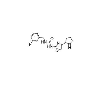 O=C(NCc1cccc(F)c1)Nc1nc(C2CCCN2)cs1